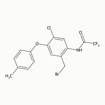 Cc1ccc(Oc2cc(CBr)c(NC(=O)C(F)(F)F)cc2Cl)cc1